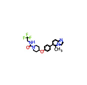 Cc1c(-c2ccc(OC3CCN(C(=O)NCC(F)(F)F)CC3)cc2)ccc2nccn12